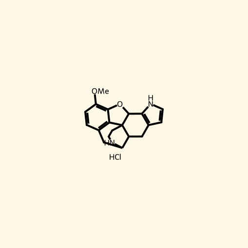 COc1ccc2c3c1OC1c4[nH]ccc4CC4C(C2)NCCC314.Cl